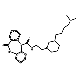 CN(C)CCCCC1CCCN(CCNC(=O)N2c3ccccc3C(=O)Nc3cccnc32)C1